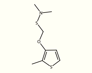 Cc1sccc1OCSN(C)C